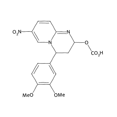 COc1ccc(C2CC(OC(=O)O)N=C3C=CC([N+](=O)[O-])=CN32)cc1OC